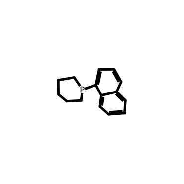 c1ccc2c(P3CCCCC3)cccc2c1